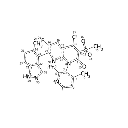 Cc1ccnc(C(C)C)c1-n1c(=O)c(S(C)(=O)=O)c(Cl)c2cc(F)c(-c3c(C)ccc4[nH]ncc34)nc21